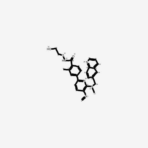 C=Nc1ccc(-c2ccc(C(=O)NOCCO)c(C)c2)nc1N(C)Cc1ccc2ncccc2c1